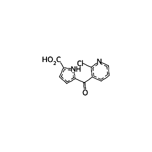 O=C(O)c1ccc(C(=O)c2cccnc2Cl)[nH]1